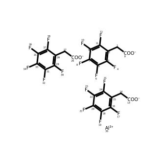 O=C([O-])Cc1c(F)c(F)c(F)c(F)c1F.O=C([O-])Cc1c(F)c(F)c(F)c(F)c1F.O=C([O-])Cc1c(F)c(F)c(F)c(F)c1F.[Al+3]